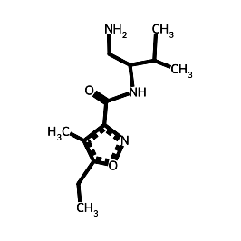 CCc1onc(C(=O)NC(CN)C(C)C)c1C